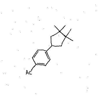 CC(=O)c1ccc(C2CC(C)(C)C(C)(C)C2)cc1